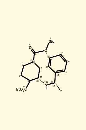 CCOC(=O)C1CCN(C(=O)OC(C)(C)C)C[C@@H]1N[C@@H](C)c1ccccc1